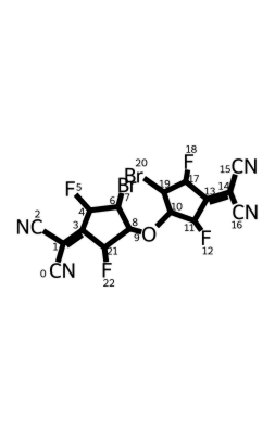 N#CC(C#N)=C1C(F)C(Br)C(OC2C(F)C(=C(C#N)C#N)C(F)C2Br)C1F